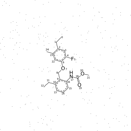 CCc1cc(F)c(OCc2c(CC)cccc2NC(=O)OC)cc1C